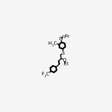 CCCOc1ccc(SCC(/C=C/c2ccc(C(F)(F)F)cc2)OCC)cc1C